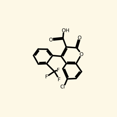 O=C(O)c1c(-c2ccccc2C(F)(F)F)c2cc(Cl)ccc2oc1=O